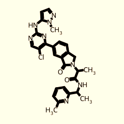 Cc1cccc(C(C)NC(=O)C(C)N2Cc3ccc(-c4nc(Nc5ccnn5C)ncc4Cl)cc3C2=O)n1